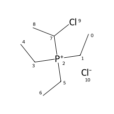 CC[P+](CC)(CC)C(C)Cl.[Cl-]